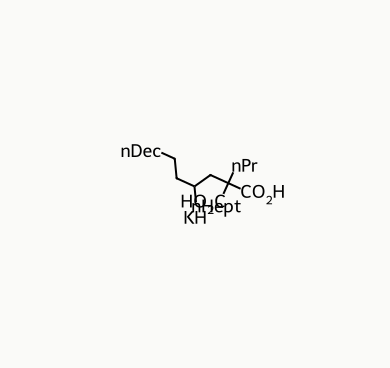 CCCCCCCCCCCCC(CCCCCCC)CC(CCC)(C(=O)O)C(=O)O.[KH]